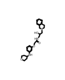 O=C(COc1cccc(NC2CCOCC2)c1)NCC(O)CN1CCc2ccccc2C1